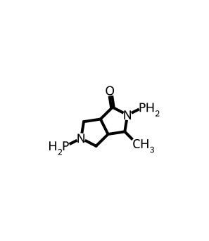 CC1C2CN(P)CC2C(=O)N1P